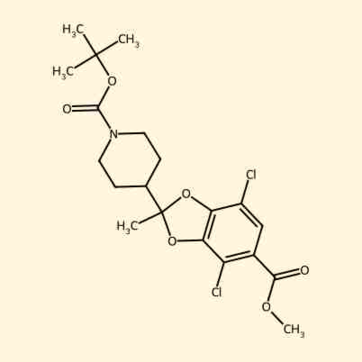 COC(=O)c1cc(Cl)c2c(c1Cl)OC(C)(C1CCN(C(=O)OC(C)(C)C)CC1)O2